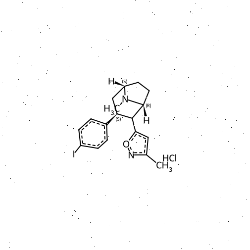 Cc1cc(C2[C@@H](c3ccc(I)cc3)C[C@@H]3CC[C@H]2N3C)on1.Cl